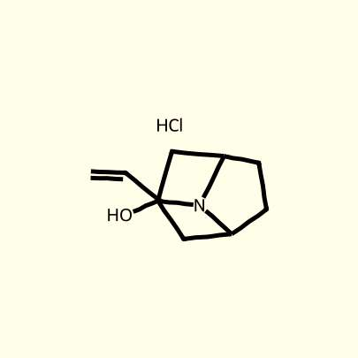 C=CCN1C2CCC1CC(O)C2.Cl